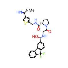 CNC(=N)c1csc(CNC(=O)[C@@H]2CCCN2C(=O)CNC(O)c2ccc3c(c2)-c2ccccc2C3(F)F)c1